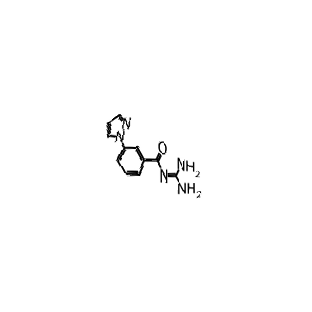 NC(N)=NC(=O)c1cccc(-n2cccn2)c1